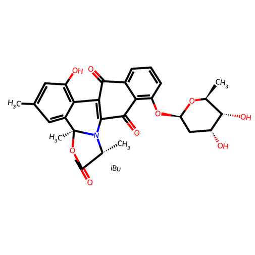 CC[C@H](C)[C@@]1(C)C(=O)O[C@@]2(C)c3cc(C)cc(O)c3C3=C(C(=O)c4c(O[C@@H]5C[C@@H](O)[C@@H](O)[C@H](C)O5)cccc4C3=O)N21